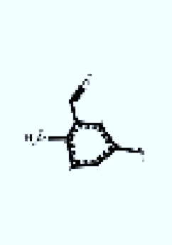 O=Cc1cc(Br)ccc1[AsH2]